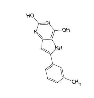 Cc1cccc(-c2cc3nc(O)nc(O)c3[nH]2)c1